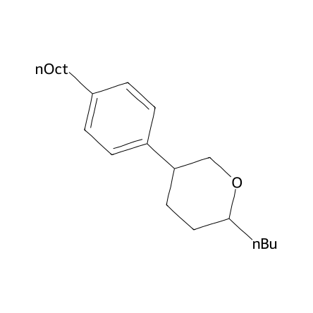 CCCCCCCCc1ccc(C2CCC(CCCC)OC2)cc1